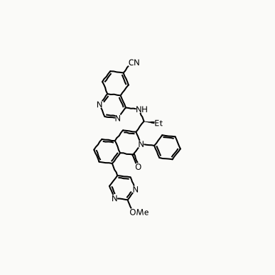 CC[C@H](Nc1ncnc2ccc(C#N)cc12)c1cc2cccc(-c3cnc(OC)nc3)c2c(=O)n1-c1ccccc1